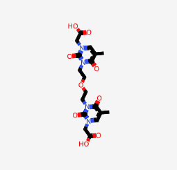 Cc1cn(CC(=O)O)c(=O)n(CCOCCn2c(=O)c(C)cn(CC(=O)O)c2=O)c1=O